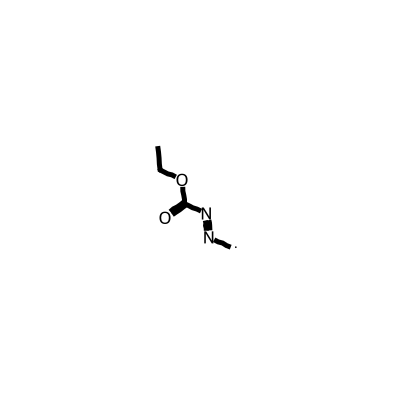 [CH2]N=NC(=O)OCC